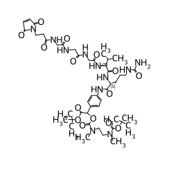 CC(C)[C@H](NC(=O)CNC(=O)CNC(=O)CNC(=O)CCN1C(=O)C=CC1=O)C(=O)N[C@@H](CCCNC(N)=O)C(=O)Nc1ccc(C(OC(=O)N(C)CCN(C)C(=O)OC(C)(C)C)C(=O)OC(C)(C)C)cc1